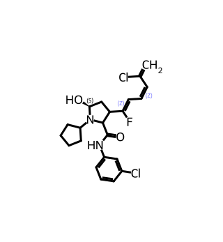 C=C(Cl)/C=C\C=C(/F)C1C[C@H](O)N(C2CCCC2)C1C(=O)Nc1cccc(Cl)c1